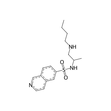 CCCCNCC(C)NS(=O)(=O)c1ccc2cnccc2c1